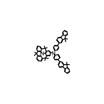 CC1(C)c2ccccc2-c2ccc(-c3ccc(N(c4ccc(-c5ccc6c(c5)C(C)(C)c5ccccc5-6)cc4)c4cc5c6c(c4)C(C)(C)c4cccc7c4N6c4c(cccc4C5(C)C)C7(C)C)cc3)cc21